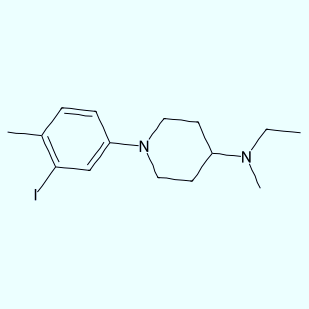 CCN(C)C1CCN(c2ccc(C)c(I)c2)CC1